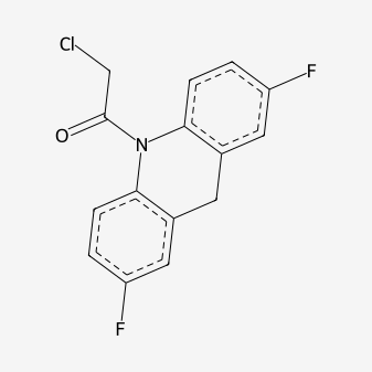 O=C(CCl)N1c2ccc(F)cc2Cc2cc(F)ccc21